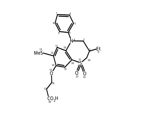 CCC1CN(c2ccccc2)c2cc(SC)c(OCCC(=O)O)cc2S(=O)(=O)C1